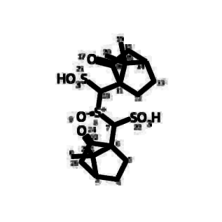 CC1(C)C2CCC1(C([S+]([O-])C(C13CCC(CC1=O)C3(C)C)S(=O)(=O)O)S(=O)(=O)O)C(=O)C2